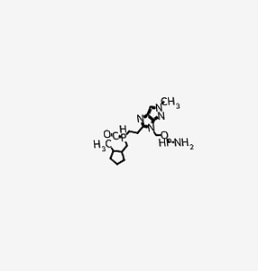 CC1CCCC1C[PH](=C=O)CCc1nc2cn(C)nc2n1COPN